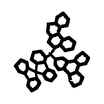 c1ccc2c(c1)-c1ccccc1C21c2ccccc2-c2c(N(c3ccc4c5ccccc5c5ccccc5c4c3)c3cc4ccc5ccccc5c4c4ccccc34)cccc21